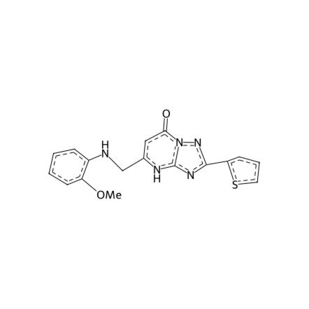 COc1ccccc1NCc1cc(=O)n2nc(-c3cccs3)nc2[nH]1